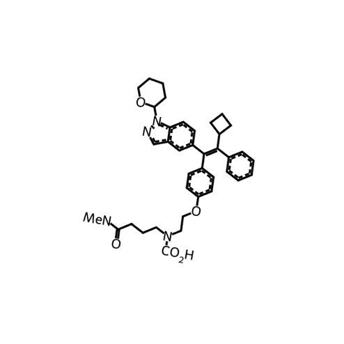 CNC(=O)CCCN(CCOc1ccc(/C(=C(\c2ccccc2)C2CCC2)c2ccc3c(cnn3C3CCCCO3)c2)cc1)C(=O)O